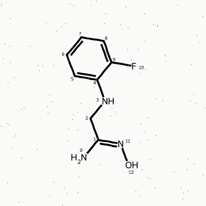 NC(CNc1ccccc1F)=NO